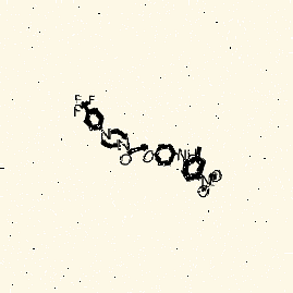 Cc1cc([N+](=O)[O-])ccc1N[C@H]1CC[C@H](OCC(=O)N2CCN(c3ccc(C(F)(F)F)cc3)CC2)CC1